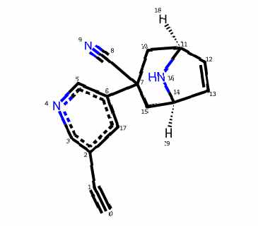 C#Cc1cncc(C2(C#N)C[C@H]3C=C[C@@H](C2)N3)c1